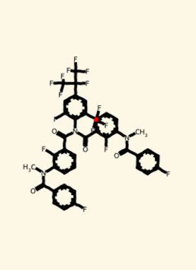 CN(C(=O)c1ccc(F)cc1)c1cccc(C(=O)N(C(=O)c2cccc(N(C)C(=O)c3ccc(F)cc3)c2F)c2c(I)cc(C(F)(C(F)(F)F)C(F)(F)F)cc2C(F)(F)F)c1F